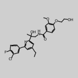 CCc1cc(-c2ccc(F)c(Cl)c2)nc(C(C)(O)CNC(=O)c2ccc(OCCO)c(OC)c2)c1